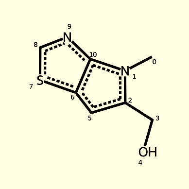 Cn1c(CO)cc2scnc21